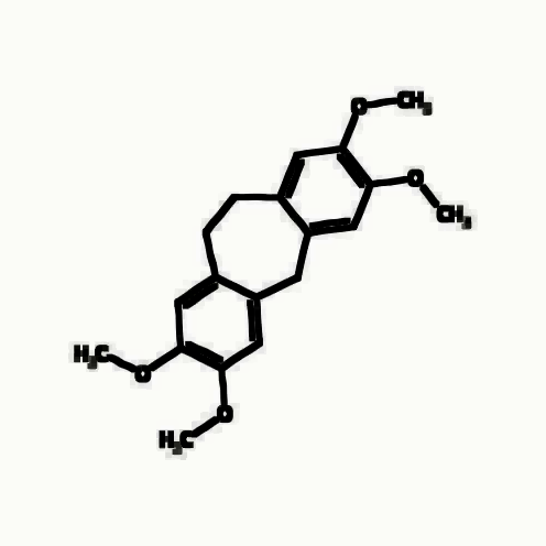 COc1cc2c(cc1OC)Cc1cc(OC)c(OC)cc1CC2